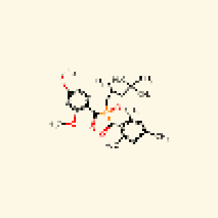 COc1ccc(C(=O)P(=O)(CC(C)CC(C)(C)C)C(=O)c2c(C)cc(C)cc2C)c(OC)c1